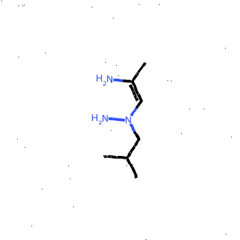 C/C(N)=C/N(N)CC(C)C